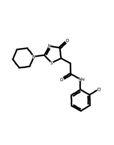 O=C(CC1SC(N2CCCCC2)=NC1=O)Nc1ccccc1Cl